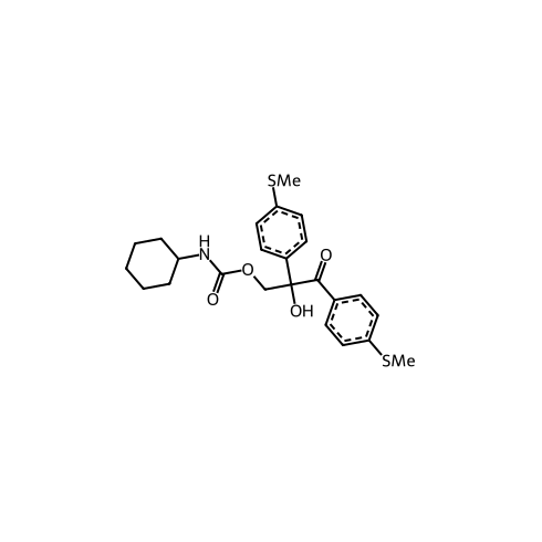 CSc1ccc(C(=O)C(O)(COC(=O)NC2CCCCC2)c2ccc(SC)cc2)cc1